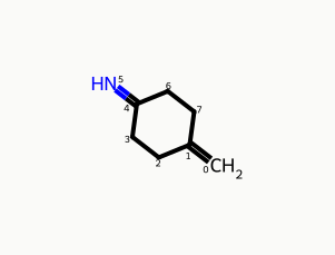 C=C1CCC(=N)CC1